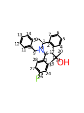 C[C@@H](c1ccccc1)N(Cc1ccccc1)[C@H](CC(C)(C)O)c1ccc(F)cc1